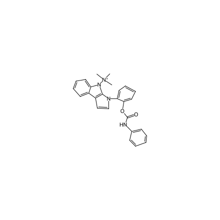 C[N+](C)(C)n1c2ccccc2c2ccn(-c3ccccc3OC(=O)Nc3ccccc3)c21